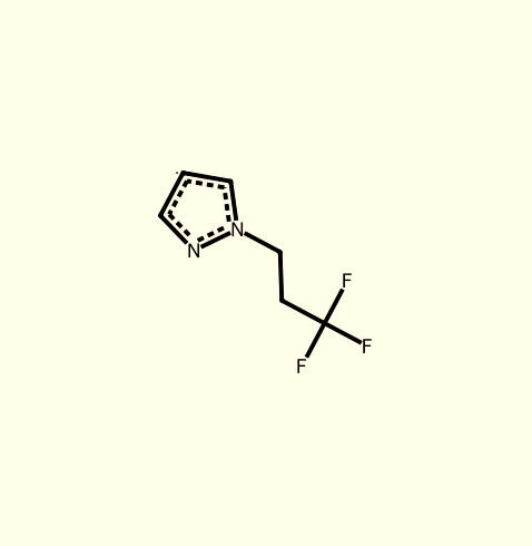 FC(F)(F)CCn1c[c]cn1